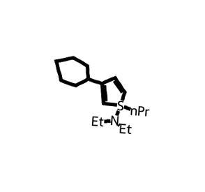 CCCS1(N(CC)CC)C=CC(C2CCCCC2)=C1